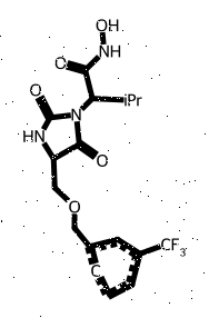 CC(C)C(C(=O)NO)N1C(=O)NC(COCc2cccc(C(F)(F)F)c2)C1=O